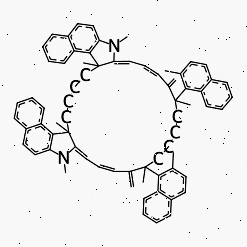 C=C1C=CC=C2N(C)c3ccc4ccccc4c3C2(C)CCCCC2(C)C(=CC=CC(=C)C(C)(c3c(C)ccc4ccccc34)CCCCC1(C)c1c(C)ccc3ccccc13)N(C)c1ccc3ccccc3c12